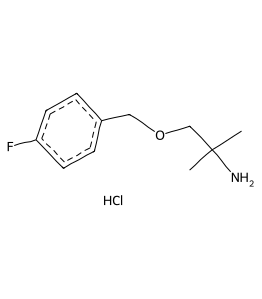 CC(C)(N)COCc1ccc(F)cc1.Cl